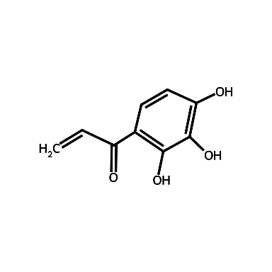 C=CC(=O)c1ccc(O)c(O)c1O